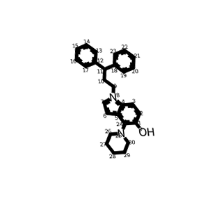 Oc1ccc2c(ccn2CCC(c2ccccc2)c2ccccc2)c1N1CCCCC1